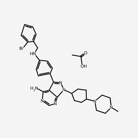 CC(=O)O.CN1CCN(C2CCC(n3nc(-c4ccc(NCc5ccccc5Br)cc4)c4c(N)ncnc43)CC2)CC1